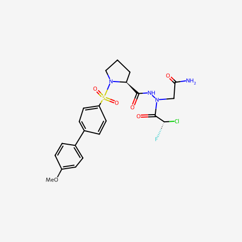 COc1ccc(-c2ccc(S(=O)(=O)N3CCC[C@H]3C(=O)NN(CC(N)=O)C(=O)[C@@H](F)Cl)cc2)cc1